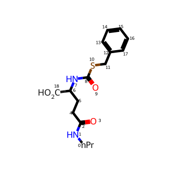 CCCNC(=O)CCC(NC(=O)SCc1ccccc1)C(=O)O